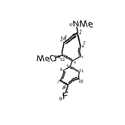 CNc1ccc(-c2ccc(F)cc2)c(OC)c1